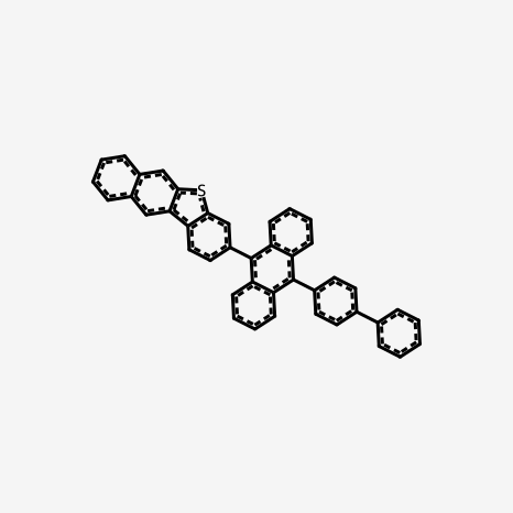 c1ccc(-c2ccc(-c3c4ccccc4c(-c4ccc5c(c4)sc4cc6ccccc6cc45)c4ccccc34)cc2)cc1